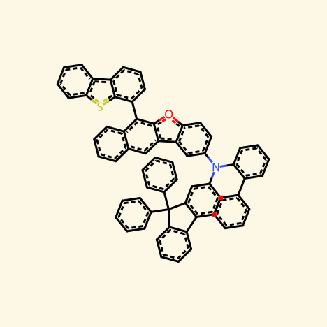 c1ccc(-c2ccccc2N(c2ccc3c(c2)C(c2ccccc2)(c2ccccc2)c2ccccc2-3)c2ccc3oc4c(-c5cccc6c5sc5ccccc56)c5ccccc5cc4c3c2)cc1